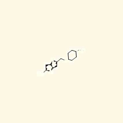 CCCC[C@H]1CC[C@H](CCc2cc3sc(CCC)cc3s2)CC1